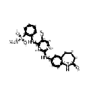 CNS(=O)(=O)c1ccccc1Nc1nc(Nc2ccc3c(c2)CCCC(=O)N3)ncc1Cl